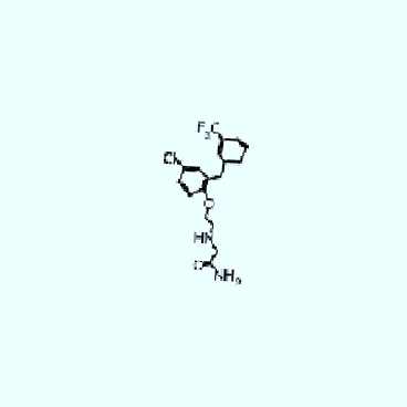 NC(=O)CNCCOc1ccc(Cl)cc1Cc1cccc(C(F)(F)F)c1